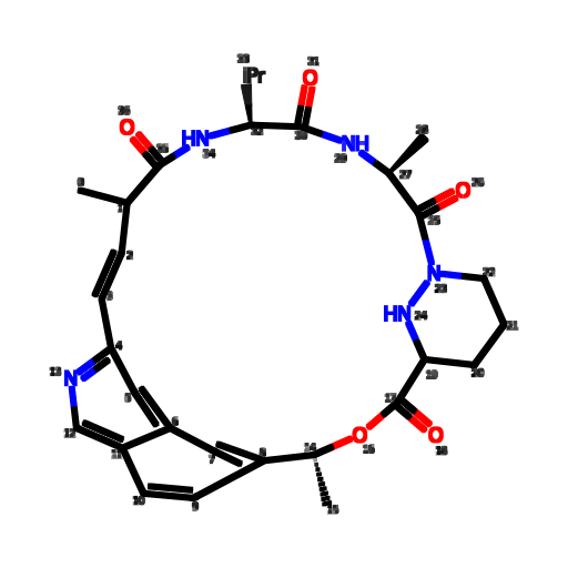 CC1/C=C/c2cc3cc(ccc3cn2)[C@@H](C)OC(=O)C2CCCN(N2)C(=O)[C@H](C)NC(=O)[C@H](C(C)C)NC1=O